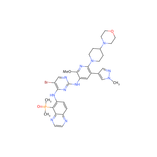 COc1nc(N2CCC(N3CCOCC3)CC2)c(-c2cnn(C)c2)cc1Nc1ncc(Br)c(Nc2ccc3nccnc3c2P(C)(C)=O)n1